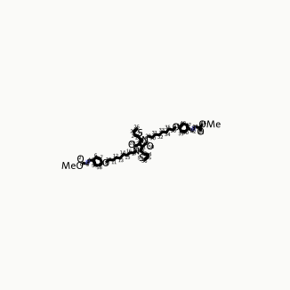 COC(=O)/C=C/c1ccc(OCCCCCCCCN2C(=O)C3=C(c4cccs4)N(CCCCCCCCOc4ccc(/C=C/C(=O)OC)cc4)C(=O)C3=C2c2cccs2)cc1